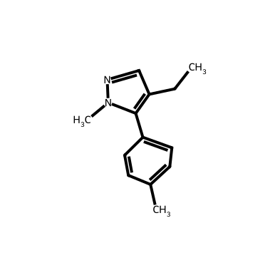 CCc1cnn(C)c1-c1ccc(C)cc1